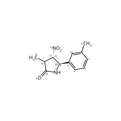 Cc1cccc([C@H]2NC(=O)C(C)[C@@H]2[N+](=O)[O-])c1